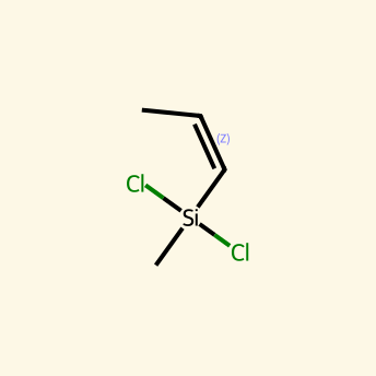 C/C=C\[Si](C)(Cl)Cl